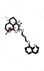 C[C@H]1[C@@H](OCCCOc2cccc3cccnc23)O[C@@H]2O[C@@]3(C)CCC4[C@H](C)CC[C@@H]1[C@]42OO3